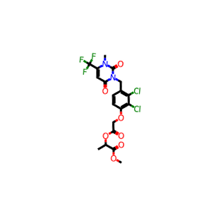 COC(=O)C(C)OC(=O)COc1ccc(Cn2c(=O)cc(C(F)(F)F)n(C)c2=O)c(Cl)c1Cl